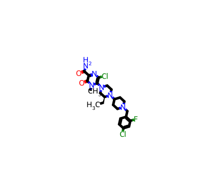 CC[C@H]1CN(c2c(Cl)nc(C(N)=O)c(=O)n2C)CCN1C1CCN(Cc2ccc(Cl)cc2F)CC1